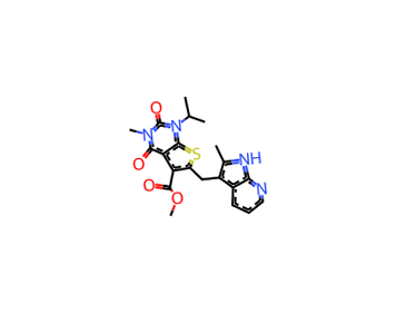 COC(=O)c1c(Cc2c(C)[nH]c3ncccc23)sc2c1c(=O)n(C)c(=O)n2C(C)C